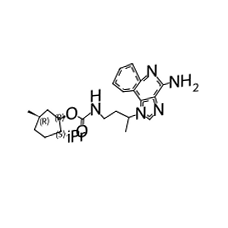 CC(C)[C@@H]1CC[C@@H](C)C[C@H]1OC(=O)NCCC(C)n1cnc2c(N)nc3ccccc3c21